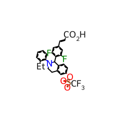 CCc1ccccc1N1CCc2cc(OS(=O)(=O)C(F)(F)F)ccc2C1c1c(F)cc(C=CC(=O)O)cc1F